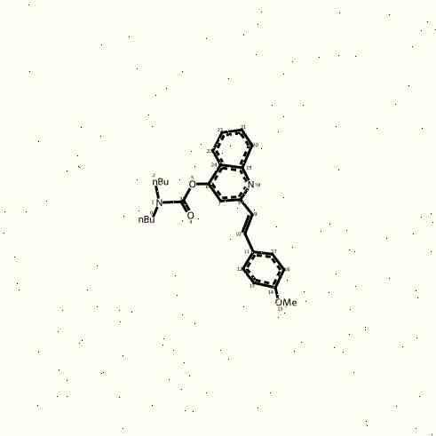 CCCCN(CCCC)C(=O)Oc1cc(C=Cc2ccc(OC)cc2)nc2ccccc12